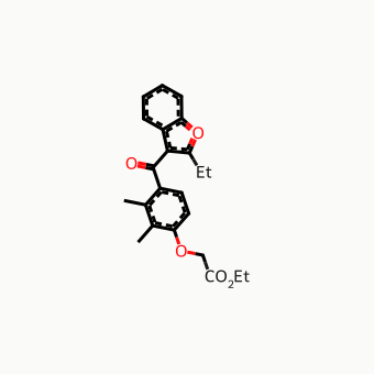 CCOC(=O)COc1ccc(C(=O)c2c(CC)oc3ccccc23)c(C)c1C